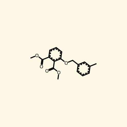 COC(=O)c1cccc(OCc2cccc(C)c2)c1C(=O)OC